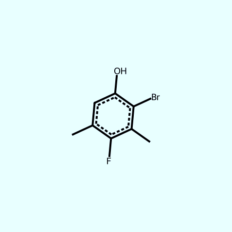 Cc1cc(O)c(Br)c(C)c1F